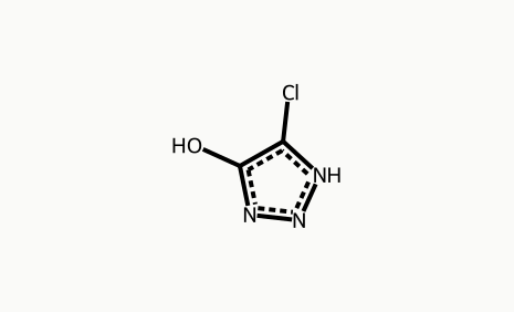 Oc1nn[nH]c1Cl